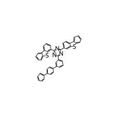 c1ccc(-c2ccc(-c3cccc(-c4nc(-c5ccc6c(c5)sc5ccccc56)nc(-c5cccc6c5sc5ccccc56)n4)c3)cc2)cc1